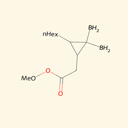 BC1(B)C(CCCCCC)C1CC(=O)OOC